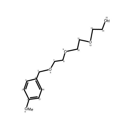 COc1ccc(COCCOCCOCCO)cc1